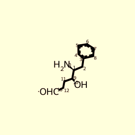 N[C@@H](Cc1ccccc1)C(O)CC[C]=O